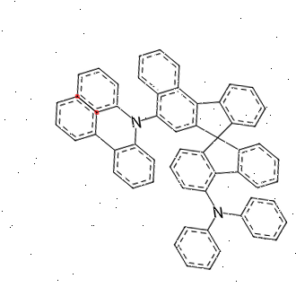 c1ccc(-c2ccccc2N(c2ccccc2)c2cc3c(c4ccccc24)-c2ccccc2C32c3ccccc3-c3c(N(c4ccccc4)c4ccccc4)cccc32)cc1